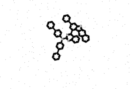 c1ccc(-c2ccc(N(c3ccc(-c4ccccc4)cc3)c3nc(-c4cc(-c5ccccc5)cc5oc6cc7ccccc7cc6c45)c4ccccc4n3)cc2)cc1